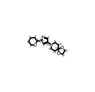 c1nn(C2CCCCO2)cc1N1CCC2(CC1)OCCO2